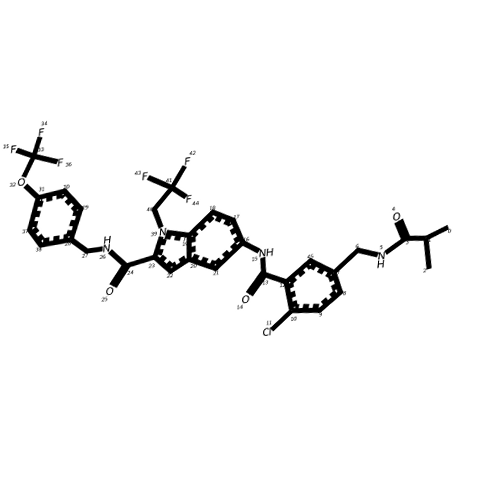 CC(C)C(=O)NCc1ccc(Cl)c(C(=O)Nc2ccc3c(c2)cc(C(=O)NCc2ccc(OC(F)(F)F)cc2)n3CC(F)(F)F)c1